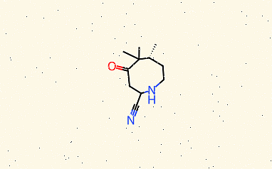 C[C@@H]1CCNC(C#N)CC(=O)C1(C)C